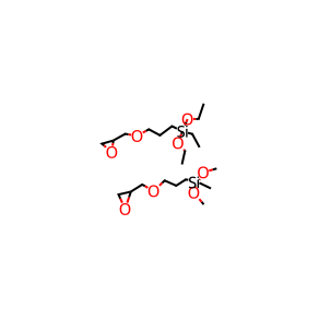 CCO[Si](CC)(CCCOCC1CO1)OCC.CO[Si](C)(CCCOCC1CO1)OC